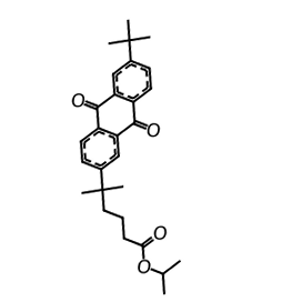 CC(C)OC(=O)CCCC(C)(C)c1ccc2c(c1)C(=O)c1ccc(C(C)(C)C)cc1C2=O